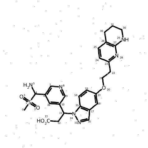 CS(=O)(=O)C(N)c1cncc(C(CC(=O)O)n2ncc3cc(OCCc4ccc5c(n4)NCCC5)ccc32)c1